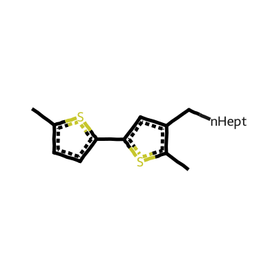 CCCCCCCCc1cc(-c2ccc(C)s2)sc1C